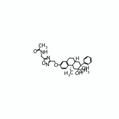 CC[C@@]12C[C@@](C)(O)[C@](O)(c3ccccc3)C[C@H]1CCc1cc(OCc3noc(CNC(C)=O)n3)ccc12